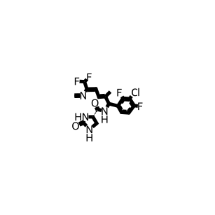 C=N/C(=C\C=C(/C)C(NC(=O)[C@@H]1CNC(=O)N1)c1ccc(F)c(Cl)c1F)C(F)F